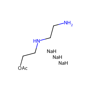 CC(=O)OCCNCCN.[NaH].[NaH].[NaH]